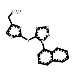 O=C(O)Cc1csc(Sc2nnnn2-c2cccc3ccccc23)n1